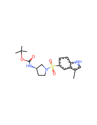 Cc1c[nH]c2ccc(S(=O)(=O)N3CC[C@@H](NC(=O)OC(C)(C)C)C3)cc12